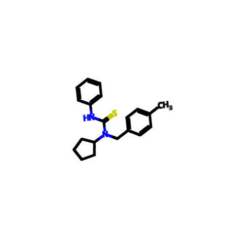 Cc1ccc(CN(C(=S)Nc2ccccc2)C2CCCC2)cc1